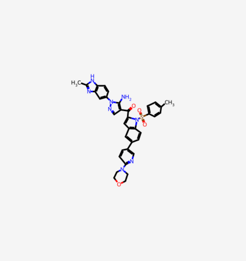 Cc1ccc(S(=O)(=O)n2c(C(=O)c3cnn(-c4ccc5[nH]c(C)nc5c4)c3N)cc3cc(-c4ccc(N5CCOCC5)nc4)ccc32)cc1